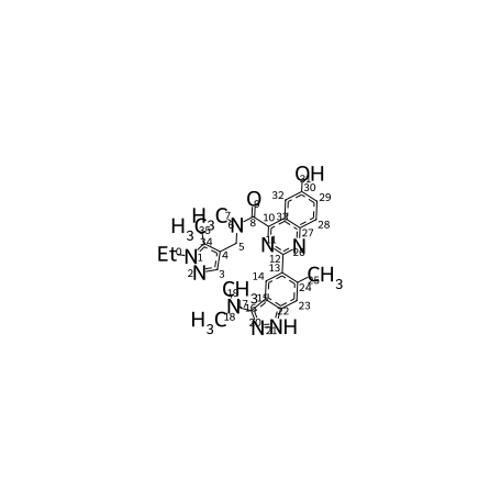 CCn1ncc(CN(C)C(=O)c2nc(-c3cc4c(N(C)C)n[nH]c4cc3C)nc3ccc(O)cc23)c1C